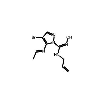 C=CCN/C(=N/O)n1ncc(Br)c1/N=C/C